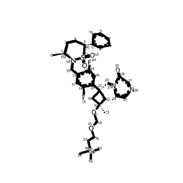 C[C@H]1CC[C@H](c2ccccc2)S(=O)(=O)N1Cc1cc(F)c([C@]2(Cn3ccncc3=O)C[C@](C)(OCOCC[Si](C)(C)C)C2)cc1F